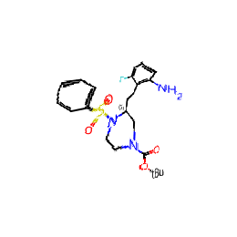 CC(C)(C)OC(=O)N1CCN(S(=O)(=O)c2ccccc2)[C@@H](CCc2c(N)cccc2F)C1